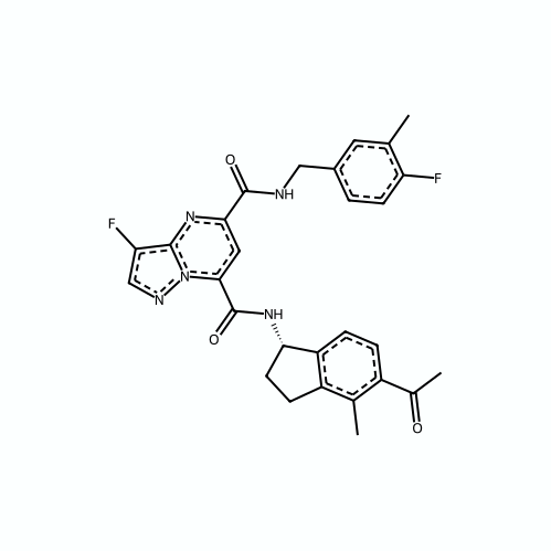 CC(=O)c1ccc2c(c1C)CC[C@@H]2NC(=O)c1cc(C(=O)NCc2ccc(F)c(C)c2)nc2c(F)cnn12